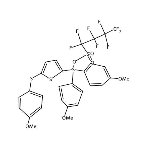 COc1ccc(Sc2ccc(S(OS(=O)(=O)C(F)(F)C(F)(F)C(F)(F)C(F)(F)F)(c3ccc(OC)cc3)c3ccc(OC)cc3)s2)cc1